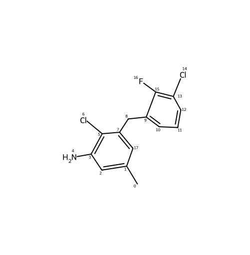 Cc1cc(N)c(Cl)c(Cc2cccc(Cl)c2F)c1